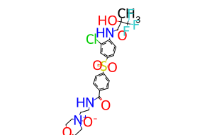 CC(O)(C(=O)Nc1ccc(S(=O)(=O)c2ccc(C(=O)NCC[N+]3([O-])CCOCC3)cc2)cc1Cl)C(F)(F)F